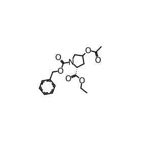 CCOC(=O)[C@H]1CC(OC(C)=O)CN1C(=O)OCc1ccccc1